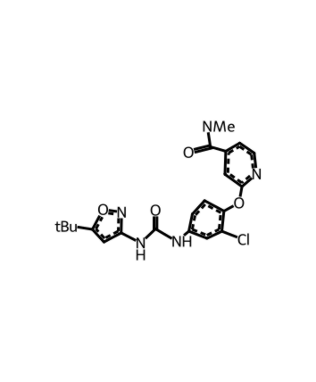 CNC(=O)c1ccnc(Oc2ccc(NC(=O)Nc3cc(C(C)(C)C)on3)cc2Cl)c1